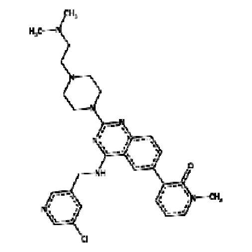 CN(C)CCN1CCN(c2nc(NCc3cncc(Cl)c3)c3cc(-c4cccn(C)c4=O)ccc3n2)CC1